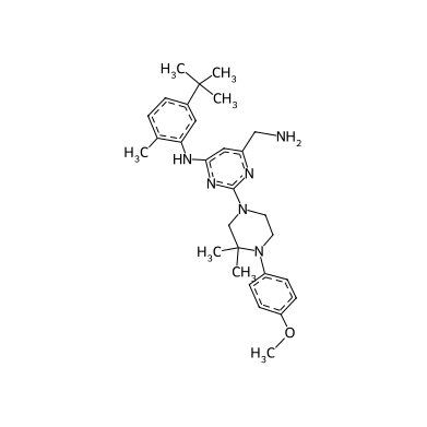 COc1ccc(N2CCN(c3nc(CN)cc(Nc4cc(C(C)(C)C)ccc4C)n3)CC2(C)C)cc1